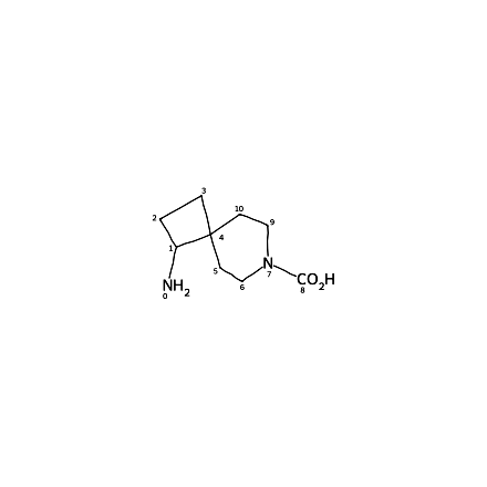 NC1CCC12CCN(C(=O)O)CC2